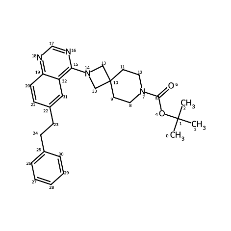 CC(C)(C)OC(=O)N1CCC2(CC1)CN(c1ncnc3ccc(CCc4ccccc4)cc13)C2